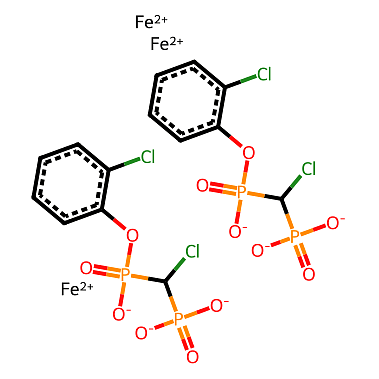 O=P([O-])([O-])C(Cl)P(=O)([O-])Oc1ccccc1Cl.O=P([O-])([O-])C(Cl)P(=O)([O-])Oc1ccccc1Cl.[Fe+2].[Fe+2].[Fe+2]